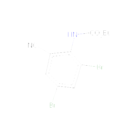 CCOC(=O)Nc1c(Br)cc(Br)cc1C#N